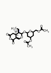 C/C=C1/C(OC2CC(OC(C)=O)CC(COC(C)=O)O2)OC=C2C(=O)OC(=O)C[C@H]21